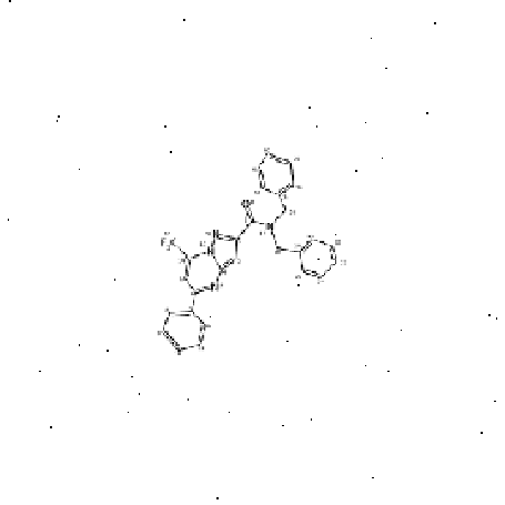 O=C(c1cc2nc(-c3ccccc3)cc(C(F)(F)F)n2n1)N(Cc1ccccc1)Cc1ccccc1